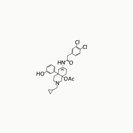 CC(=O)OC12CC[C@@H](NC(=O)Cc3ccc(Cl)c(Cl)c3)CC1(c1cccc(O)c1)CCN(CC1CC1)C2